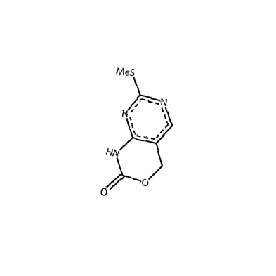 CSc1ncc2c(n1)NC(=O)OC2